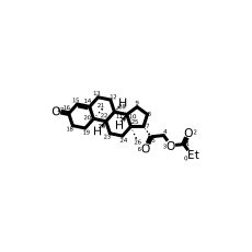 CCC(=O)OCC(=O)[C@H]1CC[C@H]2[C@@H]3CCC4=CC(=O)CC[C@]4(C)[C@H]3CC[C@]12C